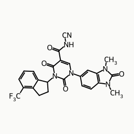 Cn1c(=O)n(C)c2cc(-n3cc(C(=O)NC#N)c(=O)n(C4CCc5c4cccc5C(F)(F)F)c3=O)ccc21